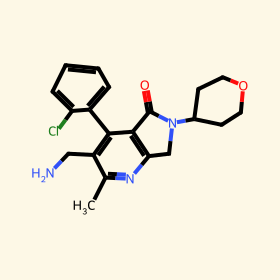 Cc1nc2c(c(-c3ccccc3Cl)c1CN)C(=O)N(C1CCOCC1)C2